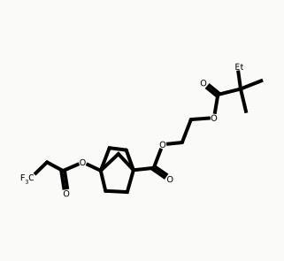 CCC(C)(C)C(=O)OCCOC(=O)C12CCC(OC(=O)CC(F)(F)F)(CC1)C2